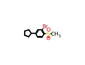 CS(=O)(=O)c1ccc(C2[CH]CCC2)cc1Br